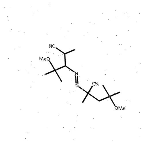 COC(C)(C)CC(C)(C#N)N=NC(C(C)C#N)C(C)(C)OC